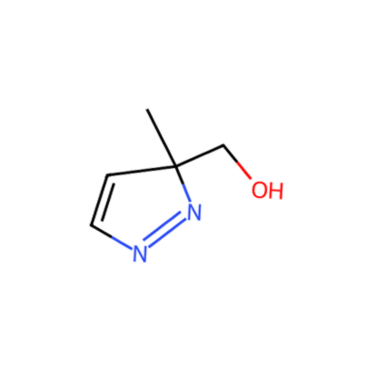 CC1(CO)C=CN=N1